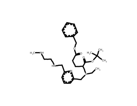 CCN(Cc1cccc(CNCCNC)n1)C(CCC(=O)OCc1ccccc1)C(=O)OC(C)(C)C